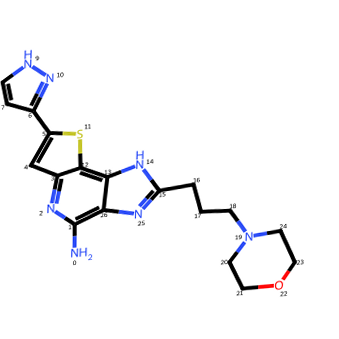 Nc1nc2cc(-c3cc[nH]n3)sc2c2[nH]c(CCCN3CCOCC3)nc12